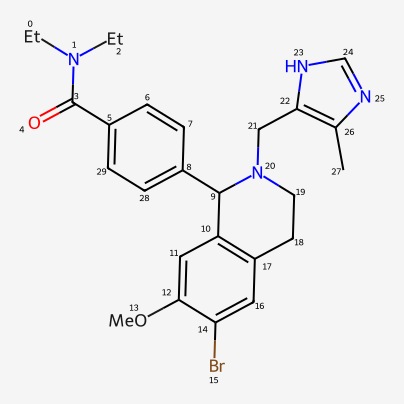 CCN(CC)C(=O)c1ccc(C2c3cc(OC)c(Br)cc3CCN2Cc2[nH]cnc2C)cc1